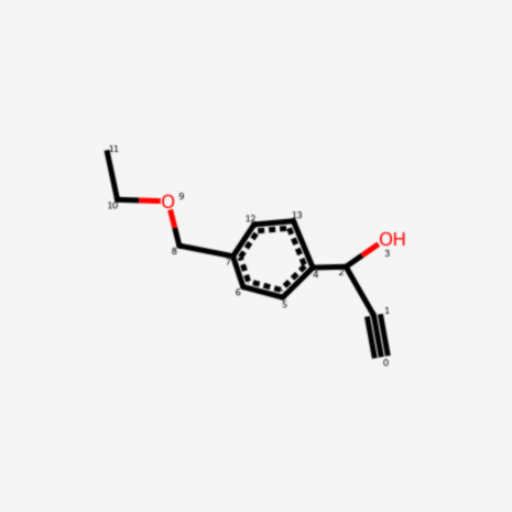 C#CC(O)c1ccc(COCC)cc1